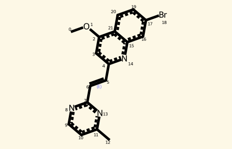 COc1cc(/C=C/c2nccc(C)n2)nc2cc(Br)ccc12